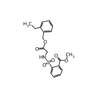 CCc1ccccc1COC(=O)CNS(=O)(=O)c1ccccc1C(=O)OC